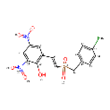 O=[N+]([O-])c1cc(/C=C/S(=O)(=O)Cc2ccc(F)cc2)c(O)c([N+](=O)[O-])c1